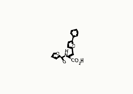 O=C(O)C(=Cc1ccc(-c2ccccc2)o1)NC(=O)c1ccco1